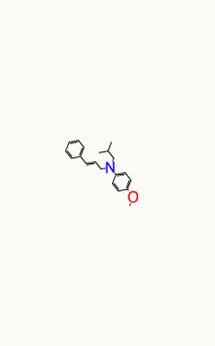 COc1ccc(N(C/C=C/c2ccccc2)CC(C)C)cc1